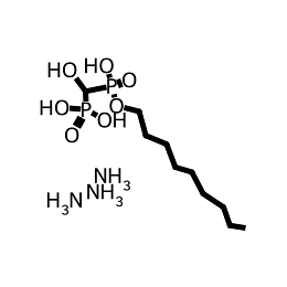 CCCCCCCCCOP(=O)(O)C(O)P(=O)(O)O.N.N.N